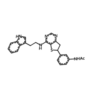 CC(=O)Nc1cccc(C2Cc3ncnc(NCCc4c[nH]c5ccccc45)c3S2)c1